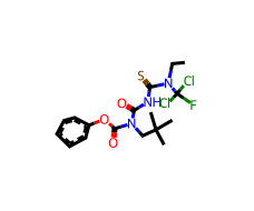 CCN(C(=S)NC(=O)N(CC(C)(C)C)C(=O)Oc1ccccc1)C(F)(Cl)Cl